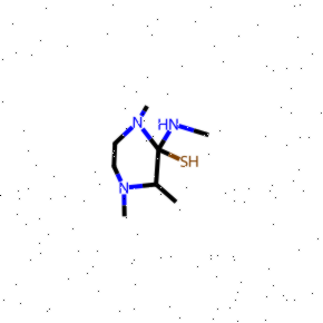 CNC1(S)C(C)N(C)CCN1C